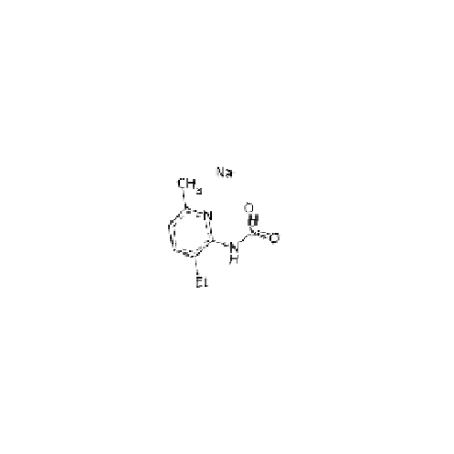 CCc1ccc(C)nc1N[SH](=O)=O.[Na]